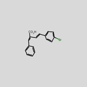 O=C(O)C(=Cc1ccccc1)/C=C/c1ccc(Br)cc1